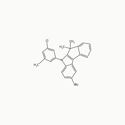 Cc1cc(Cl)cc(-n2c3c(c4cc(C(C)(C)C)ccc42)-c2ccccc2C3(C)C)c1